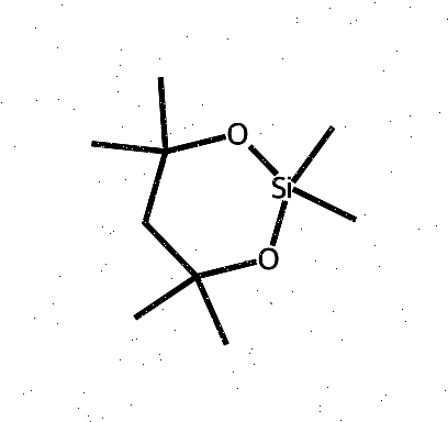 CC1(C)CC(C)(C)O[Si](C)(C)O1